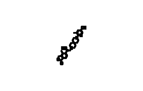 Cc1cc(C#N)cnc1N1CCC2(CCN(C[C@H](O)c3ccc4c(c3C)COC4=O)CC2)CC1